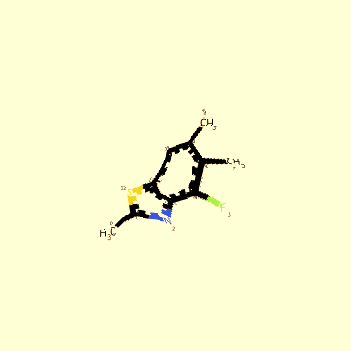 Cc1nc2c(F)c(C)c(C)cc2s1